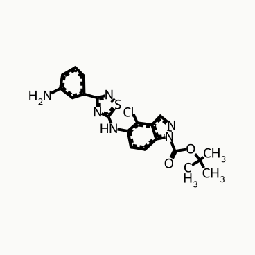 CC(C)(C)OC(=O)n1ncc2c(Cl)c(Nc3nc(-c4cccc(N)c4)ns3)ccc21